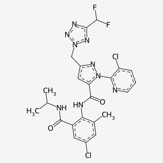 Cc1cc(Cl)cc(C(=O)NC(C)C)c1NC(=O)c1cc(Cn2nnc(C(F)F)n2)nn1-c1ncccc1Cl